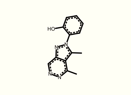 Cc1nncc2nn(-c3ccccc3O)c(C)c12